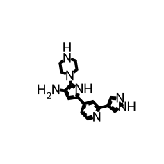 Nc1cc(-c2ccnc(-c3cn[nH]c3)c2)[nH]c1N1CCNCC1